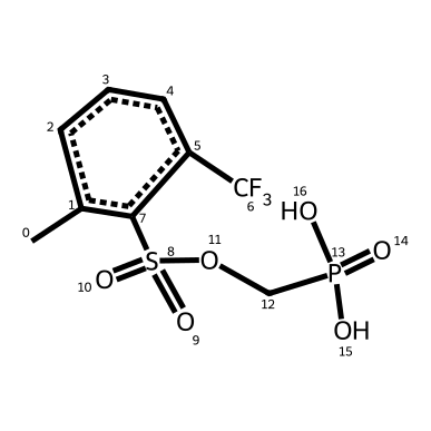 Cc1cccc(C(F)(F)F)c1S(=O)(=O)OCP(=O)(O)O